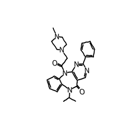 CC(C)N1C(=O)c2cnc(-c3ccccc3)nc2N(C(=O)CN2CCN(C)CC2)c2ccccc21